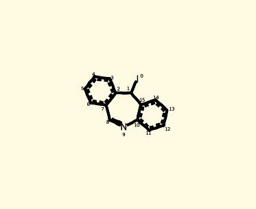 IC1c2ccccc2C=Nc2ccccc21